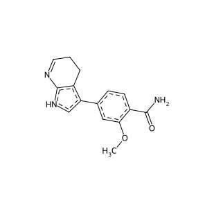 COc1cc(-c2c[nH]c3c2CCC=N3)ccc1C(N)=O